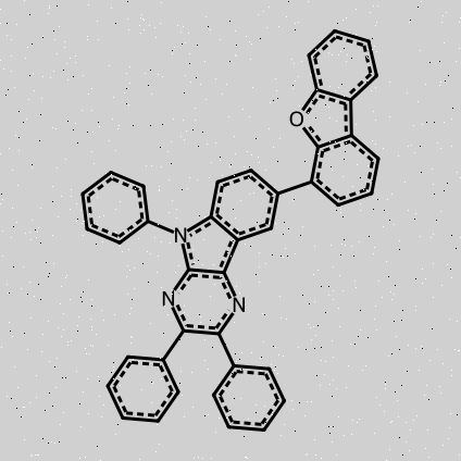 c1ccc(-c2nc3c4cc(-c5cccc6c5oc5ccccc56)ccc4n(-c4ccccc4)c3nc2-c2ccccc2)cc1